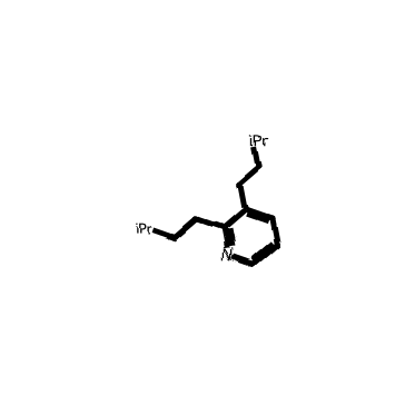 CC(C)CCc1cccnc1CCC(C)C